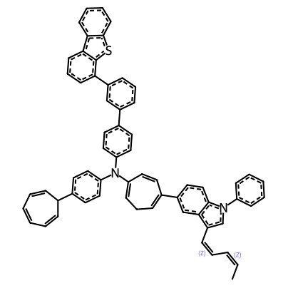 C/C=C\C=C/c1cn(-c2ccccc2)c2ccc(C3=CCC=C(N(c4ccc(-c5cccc(-c6cccc7c6sc6ccccc67)c5)cc4)c4ccc(C5C=CC=CC=C5)cc4)C=C3)cc12